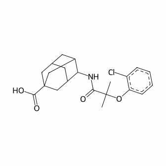 CC(C)(Oc1ccccc1Cl)C(=O)NC1C2CC3CC1CC(C(=O)O)(C3)C2